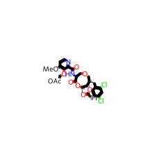 COc1ccnc(C(=O)N[C@H]2COC[C@H](Cc3ccc(Cl)cc3Cl)[C@@H](OC(=O)C(C)C)[C@H](C)OC2=O)c1OCOC(C)=O